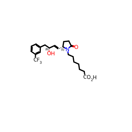 O=C(O)CCCCCCN1C(=O)CC[C@H]1C=C[C@H](O)Cc1cccc(C(F)(F)F)c1